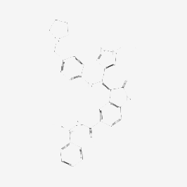 CC[C@@H](NC(=O)c1ccc2c(c1)C(=C(Nc1ccc(CN3CCCC3)cc1)c1cnn(C)c1)C(=O)N2)c1ccccc1